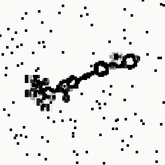 C[C@@](CCN1Cc2cc(C#Cc3ccc([C@H](O)CN4CCOCC4)cc3)cn2C1=O)(C(=O)NO)S(C)(=O)=O